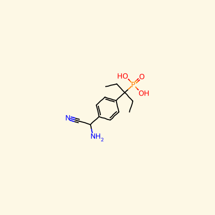 CCC(CC)(c1ccc(C(N)C#N)cc1)P(=O)(O)O